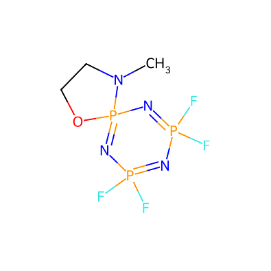 CN1CCOP12=NP(F)(F)=NP(F)(F)=N2